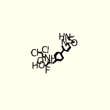 CS(=N)(=O)c1ccc(-c2ccc(C[C@H](NC(=O)C(Cl)Cl)C(O)F)cc2)cn1